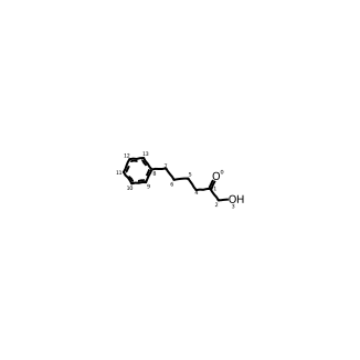 O=C(CO)CCCCc1ccccc1